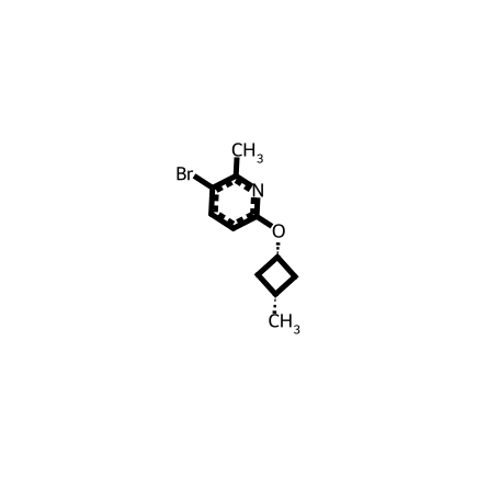 Cc1nc(O[C@H]2C[C@@H](C)C2)ccc1Br